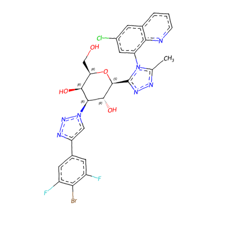 Cc1nnc([C@@H]2O[C@H](CO)[C@H](O)[C@H](n3cc(-c4cc(F)c(Br)c(F)c4)nn3)[C@H]2O)n1-c1cc(Cl)cc2cccnc12